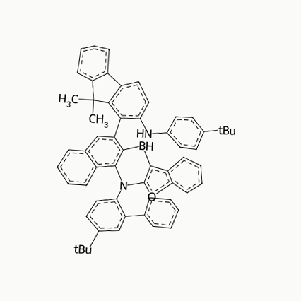 CC(C)(C)c1ccc(Nc2ccc3c(c2-c2cc4ccccc4c4c2Bc2c(oc5ccccc25)N4c2ccc(C(C)(C)C)cc2-c2ccccc2)C(C)(C)c2ccccc2-3)cc1